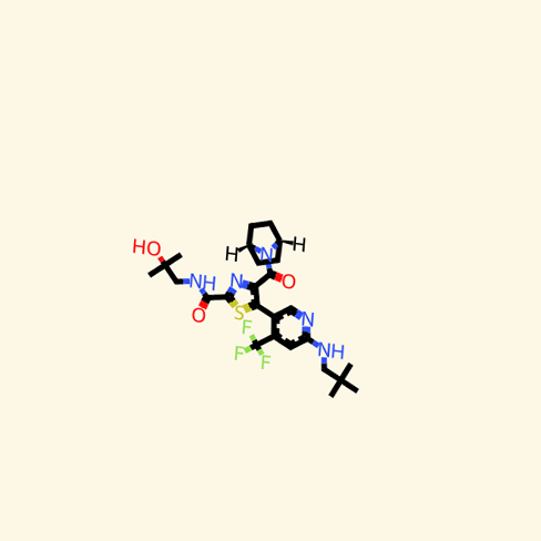 CC(C)(C)CNc1cc(C(F)(F)F)c(-c2sc(C(=O)NCC(C)(C)O)nc2C(=O)N2[C@H]3CC[C@@H]2CC3)cn1